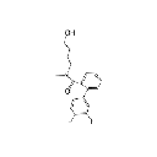 CN(CCCCO)C(=O)c1ccccc1-c1ccc(F)c(F)c1